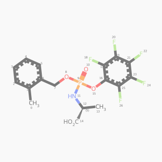 Cc1ccccc1COP(=O)(N[C@@H](C)C(=O)O)Oc1c(F)c(F)c(F)c(F)c1F